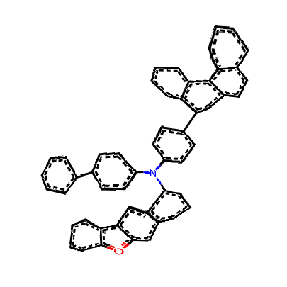 c1ccc(-c2ccc(N(c3ccc(-c4cc5ccc6ccccc6c5c5ccccc45)cc3)c3cccc4cc5oc6ccccc6c5cc34)cc2)cc1